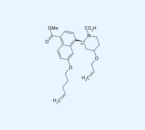 C=CCCCOc1ccc2c(C(=O)OC)ccc([C@@H]3CC(OCC=C)CCN3C(=O)O)c2c1